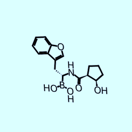 O=C(N[C@@H](Cc1coc2ccccc12)B(O)O)[C@H]1CCC[C@H]1O